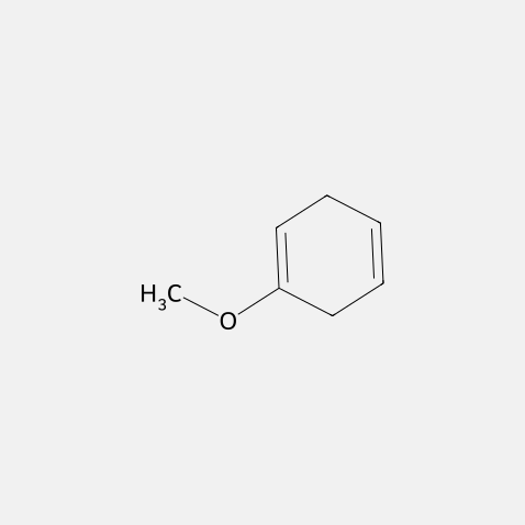 COC1=CCC=CC1